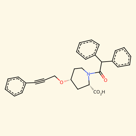 O=C(O)[C@@H]1C[C@H](OCC#Cc2ccccc2)CCN1C(=O)C(c1ccccc1)c1ccccc1